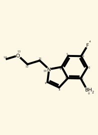 Bc1cc(F)cc2c1ccn2CCOC